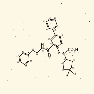 CC1(C)CCC(N(Cc2ccc(-c3ccccc3)cc2C(=O)NCCc2ccccc2)C(=O)O)CC1